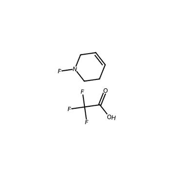 FN1CC=CCC1.O=C(O)C(F)(F)F